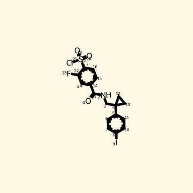 O=C(NCC1(c2ccc(I)cc2)CC1)c1ccc(S(=O)(=O)Cl)c(F)c1